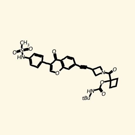 CC(C)(C)NC(=O)OC1(C(=O)N2CC(C#Cc3ccc4c(=O)c(-c5ccc(NS(C)(=O)=O)cc5)coc4c3)C2)CCC1